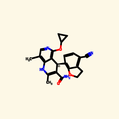 CC1=C(C(N)=O)[C@H](c2ccc(C#N)c3c2OCC3)c2c(OC3CC3)ncc(C)c2N1